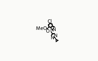 COC(=O)c1cc(Cl)cc2cnn(Cc3cnc(C4CC4)nc3)c12